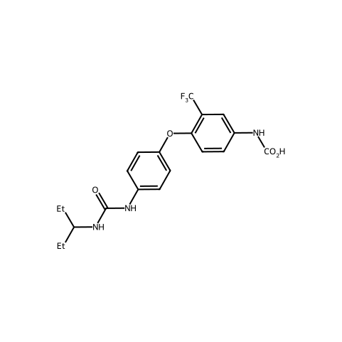 CCC(CC)NC(=O)Nc1ccc(Oc2ccc(NC(=O)O)cc2C(F)(F)F)cc1